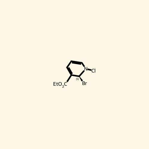 CCOC(=O)C1=CC=CN(Cl)[C@H]1Br